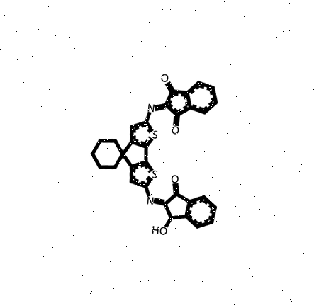 O=C1/C(=N\c2cc3c(s2)-c2sc(N=c4c(=O)c5ccccc5c4=O)cc2C32CCCCC2)C(O)c2ccccc21